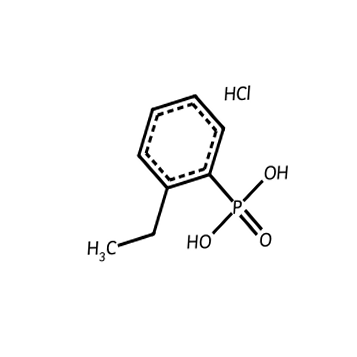 CCc1ccccc1P(=O)(O)O.Cl